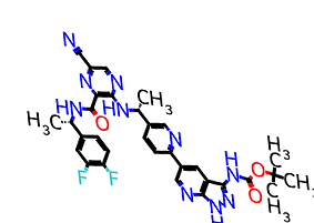 C[C@H](NC(=O)c1nc(C#N)cnc1N[C@H](C)c1ccc(-c2cnc3[nH]nc(NC(=O)OC(C)(C)C)c3c2)nc1)c1ccc(F)c(F)c1